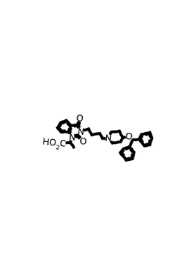 CC(C(=O)O)n1c(=O)n(CCCCN2CCC(OC(c3ccccc3)c3ccccc3)CC2)c(=O)c2ccccc21